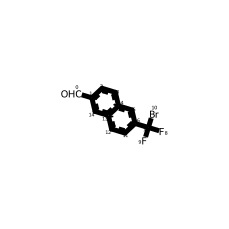 O=Cc1ccc2cc(C(F)(F)Br)ccc2c1